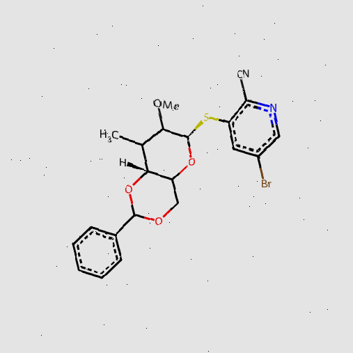 COC1C(C)[C@H]2OC(c3ccccc3)OCC2O[C@@H]1Sc1cc(Br)cnc1C#N